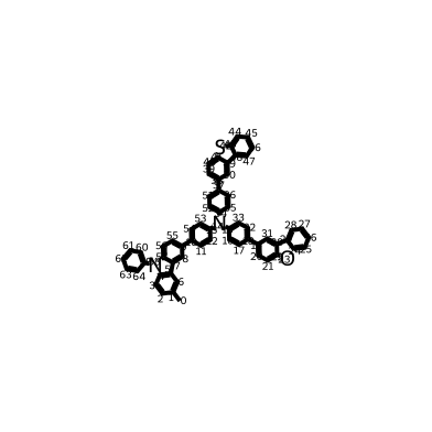 Cc1ccc2c(c1)c1cc(-c3ccc(N(c4ccc(-c5ccc6oc7ccccc7c6c5)cc4)c4ccc(-c5ccc6sc7ccccc7c6c5)cc4)cc3)ccc1n2-c1ccccc1